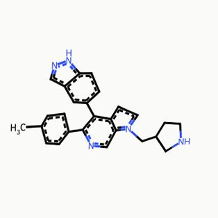 Cc1ccc(-c2ncc3c(ccn3CC3CCNC3)c2-c2ccc3[nH]ncc3c2)cc1